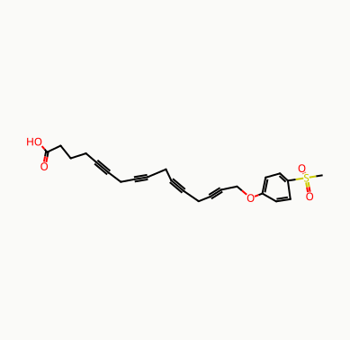 CS(=O)(=O)c1ccc(OCC#CCC#CCC#CCC#CCCCC(=O)O)cc1